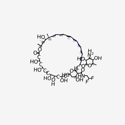 C[C@@H]1OC(=O)CC(O)CC(O)CCC(O)C(O)CC(O)CC2(O)C[C@H](O)C(C(=O)NCC(F)F)[C@H](CC(O[C@@H]3O[C@H](C)C(O)[C@H](N)C3O)/C=C/C=C/C=C/C=C/C=C/C=C/C=C/[C@H](C)C(O)[C@H]1C)O2